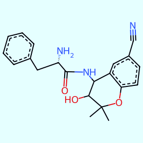 CC1(C)Oc2ccc(C#N)cc2C(NC(=O)[C@@H](N)Cc2ccccc2)C1O